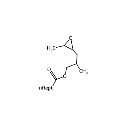 CCCCCCCC(=O)OCC(C)CC1OC1C